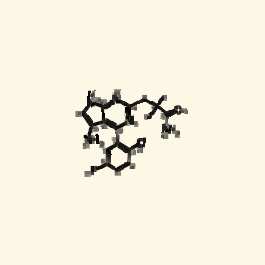 CC(C)(Cc1nc(-c2cc(F)ccc2Cl)c2c(N)c[nH]c2n1)C(N)=O